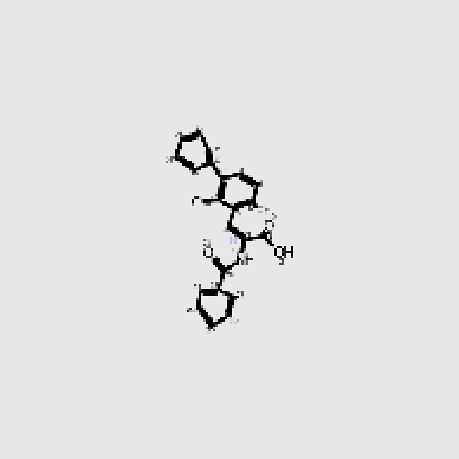 O=C(O)/C(=C\c1c(F)ccc(-c2ccccc2)c1Cl)NC(=O)c1ccccc1